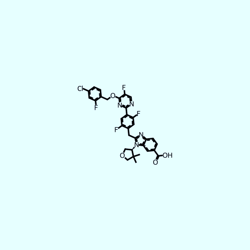 CC1(C)COC[C@H]1n1c(Cc2cc(F)c(-c3ncc(F)c(OCc4ccc(Cl)cc4F)n3)cc2F)nc2ccc(C(=O)O)cc21